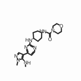 CNc1c(-c2ccnc(N[C@H]3CC[C@H](NC(=O)N4CCOCC4)CC3)n2)cnn1C